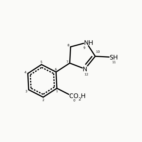 O=C(O)c1ccccc1C1CNC(S)=N1